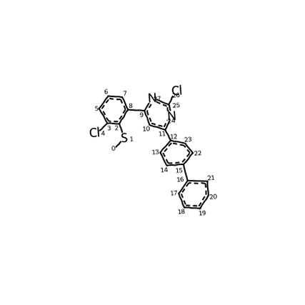 CSc1c(Cl)cccc1-c1cc(-c2ccc(-c3ccccc3)cc2)nc(Cl)n1